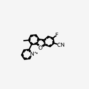 Cc1ccc2c(oc3cc(C#N)c(F)cc32)c1-c1cccc[n+]1C